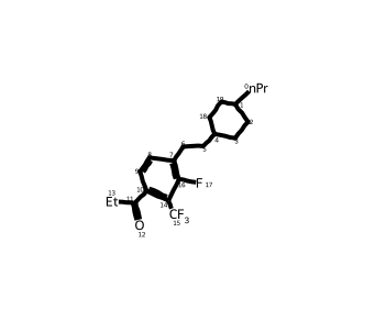 CCCC1CCC(CCc2ccc(C(=O)CC)c(C(F)(F)F)c2F)CC1